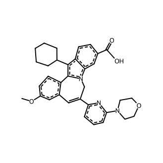 COc1ccc2c(c1)C=C(c1cccc(N3CCOCC3)n1)Cn1c-2c(C2CCCCC2)c2ccc(C(=O)O)cc21